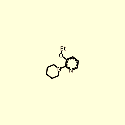 CCOc1cccnc1N1CCCCC1